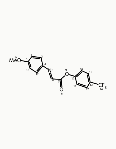 COc1ccc(N=CC(=O)Oc2ccc(C(F)(F)F)cc2)cc1